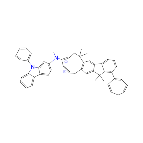 CN(C1=C\CC(C)(C)c2cc3c(cc2C/C=C\1)C(C)(C)c1c(C2=CC=CCC=C2)cccc1-3)c1ccc2c3ccccc3n(-c3ccccc3)c2c1